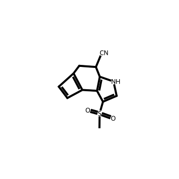 CS(=O)(=O)c1c[nH]c2c1C1=C(C=C1)CC2C#N